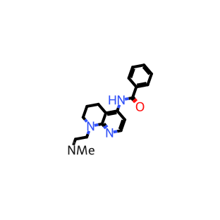 CNCCN1CCCc2c(NC(=O)c3ccccc3)ccnc21